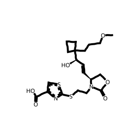 COCCCC1([C@H](O)C=C[C@H]2COC(=O)N2CCSc2nc(C(=O)O)cs2)CCC1